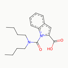 CCCCN(CCCC)C(=O)n1c(C(=O)O)cc2ccccc21